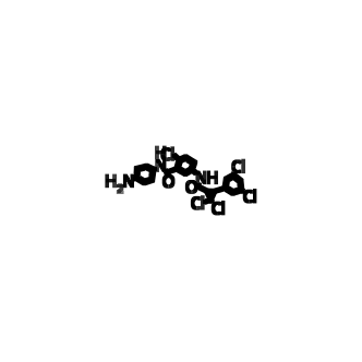 Nc1ccc(NC(=O)c2cc(NC(=O)C3C(c4cc(Cl)cc(Cl)c4)C3(Cl)Cl)ccc2Cl)cc1